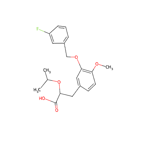 COc1ccc(CC(OC(C)C)C(=O)O)cc1OCc1cccc(F)c1